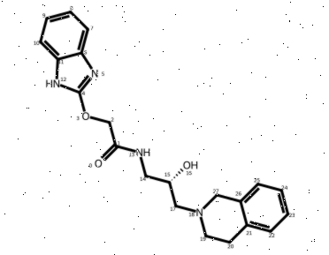 O=C(COc1nc2ccccc2[nH]1)NC[C@H](O)CN1CCc2ccccc2C1